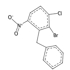 O=[N+]([O-])c1ccc(Cl)c(Br)c1Cc1ccccc1